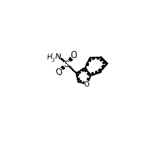 NS(=O)(=O)c1coc2ccccc12